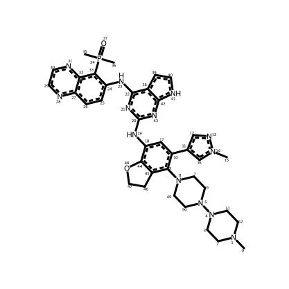 CN1CCN(N2CCN(c3c(-c4cnn(C)c4)cc(Nc4nc(Nc5ccc6nccnc6c5P(C)(C)=O)c5cc[nH]c5n4)c4c3CCO4)CC2)CC1